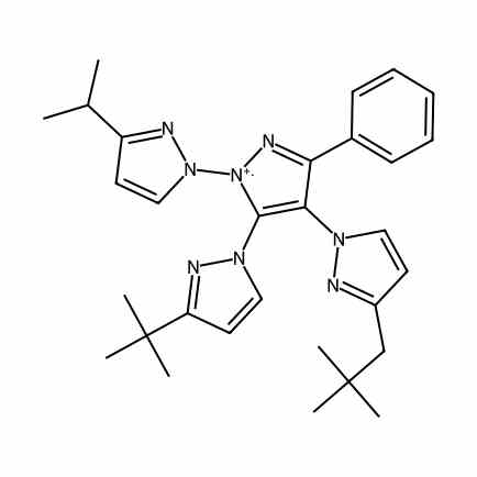 CC(C)c1ccn([N+]2N=C(c3ccccc3)C(n3ccc(CC(C)(C)C)n3)=C2n2ccc(C(C)(C)C)n2)n1